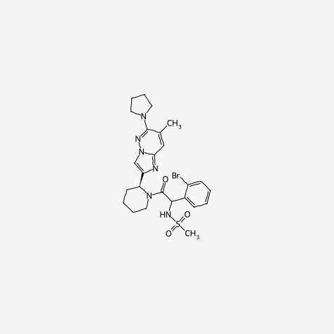 Cc1cc2nc([C@@H]3CCCCN3C(=O)C(NS(C)(=O)=O)c3ccccc3Br)cn2nc1N1CCCC1